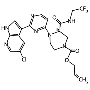 C=CCOC(=O)N1CCN(c2ccnc(-c3c[nH]c4ncc(Cl)cc34)n2)[C@H](C(=O)NCC(F)(F)F)C1